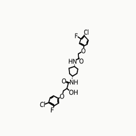 O=C(COc1ccc(Cl)c(F)c1)N[C@H]1CC[C@@H](NC(=O)C(O)COc2ccc(Cl)c(F)c2)CC1